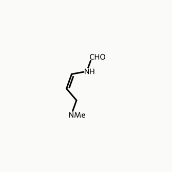 CNC/C=C\NC=O